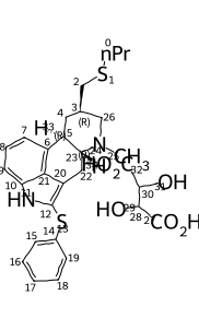 CCCSC[C@@H]1C[C@@H]2c3cccc4[nH]c(Sc5ccccc5)c(c34)C[C@H]2N(C)C1.O=C(O)C(O)C(O)C(=O)O